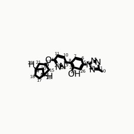 Cc1nnn(-c2ccc(-c3ccc(O[C@H]4C[C@@H]5CC[C@@H](C5)C4)nn3)c(O)c2)n1